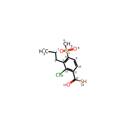 CCCc1c(S(C)(=O)=O)ccc(C(=O)S)c1Cl